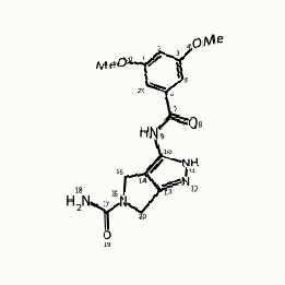 COc1cc(OC)cc(C(=O)Nc2[nH]nc3c2CN(C(N)=O)C3)c1